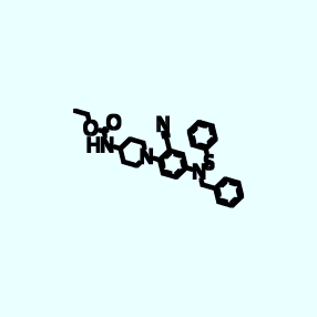 CCOC(=O)NC1CCN(c2ccc(N(Cc3ccccc3)Sc3ccccc3)cc2C#N)CC1